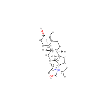 CC1=C2CC[C@H]3[C@@H]4CC[C@H]([N+](C=O)(C(C)C)C(C)C)[C@@]4(C)CC[C@@H]3[C@@]2(C)CCC1=O